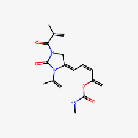 C=C(/C=C\C=C1/CN(C(=O)C(=C)C)C(=O)N1C(=C)C)OC(=O)NC